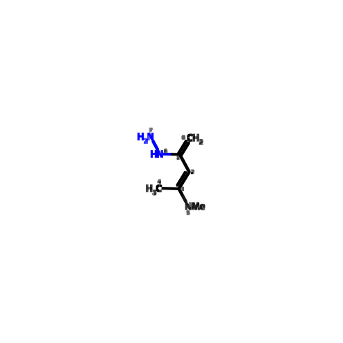 C=C(/C=C(\C)NC)NN